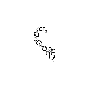 Cc1ccc(S(=O)(=O)Oc2ccc(N3CCC(Oc4ccc(OC(F)(F)F)cc4)CC3)cc2)cc1